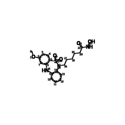 COc1ccc2c(c1)Nc1ccccc1N(CCCCCC(=O)NO)S2(=O)=O